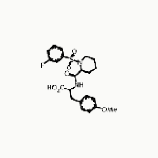 COc1ccc(CC(NC(=O)C2CCCCN2S(=O)(=O)c2cccc(F)c2)C(=O)O)cc1